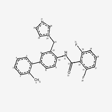 Cc1ccccc1-c1ccc(NC(=O)c2c(F)cccc2F)c(Cn2ccnc2)c1